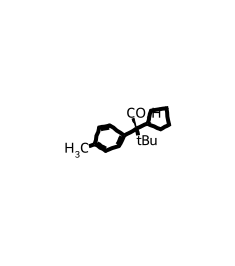 Cc1ccc([C@](C(=O)O)(C2CCCC2)C(C)(C)C)cc1